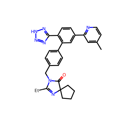 CCC1=NC2(CCCC2)C(=O)N1Cc1ccc(-c2cc(-c3cc(C)ccn3)ccc2-c2nn[nH]n2)cc1